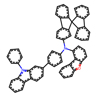 c1ccc(-n2c3ccccc3c3ccc(-c4ccc(N(c5ccc6c(c5)C5(c7ccccc7-c7ccccc75)c5ccccc5-6)c5cccc6oc7ccccc7c56)cc4)cc32)cc1